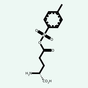 Cc1ccc(S(=O)(=O)OC(=O)CC[C@@H](N)C(=O)O)cc1